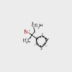 CC(Br)(CC(=O)O)c1ccccc1